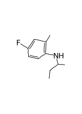 CCC(C)Nc1ccc(F)cc1C